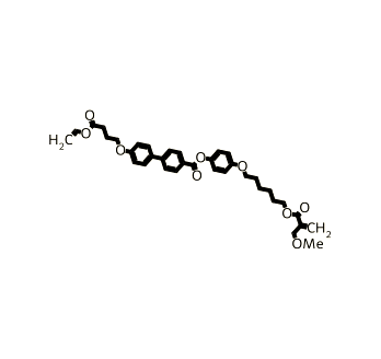 C=COC(=O)CCCOc1ccc(-c2ccc(C(=O)Oc3ccc(OCCCCCCOC(=O)C(=C)COC)cc3)cc2)cc1